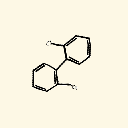 CCc1[c]cccc1-c1ccccc1Cl